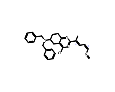 C=N/C=C\C=C(/C)c1nc(Cl)c2c(n1)CCC(N(Cc1ccccc1)Cc1ccccc1)C2